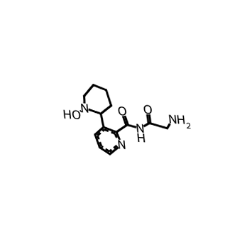 NCC(=O)NC(=O)c1ncccc1C1CCCCN1O